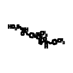 O=C(CCC1CCN(c2cc(N3CCC3C(=O)NCCc3ccc(C(F)(F)F)cc3)nc(C(F)(F)F)n2)CC1)NCCS(=O)(=O)O